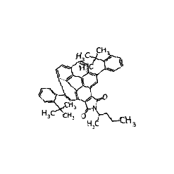 CCCC(C)n1c(=O)c2c3cc(-c4ccccc4C(C)(C)C)c4ccc5ccc6c(-c7ccccc7C(C)(C)C)cc(c2c1=O)c1c6c5c4c31